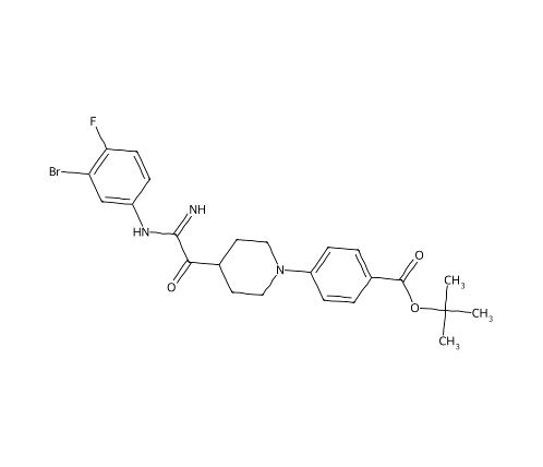 CC(C)(C)OC(=O)c1ccc(N2CCC(C(=O)C(=N)Nc3ccc(F)c(Br)c3)CC2)cc1